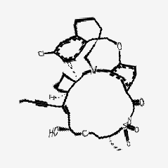 CC#C/C1=C\[C@H](O)CC[C@@H](C)S(=O)(=O)NC(=O)c2ccc3c(c2)N(C[C@@H]2CC[C@H]12)C[C@@]1(CCCc2cc(Cl)ccc21)CO3